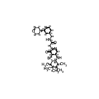 C[C@@H]1[C@@H](C)C(C)(C)[C@@H](C)C[C@H]1Nc1cnn(CC(=O)NCc2ccnc(N3CCOCC3)c2)c(=O)c1Br